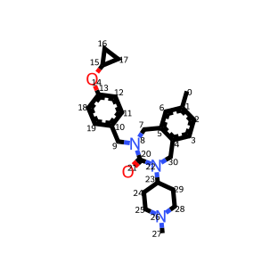 Cc1ccc2c(c1)CN(Cc1ccc(OC3CC3)cc1)C(=O)N(C1CCN(C)CC1)C2